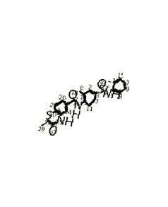 Cc1cc([S+]([O-])Nc2ccccc2)ccc1NC(=O)c1ccc2c(c1)NC(=O)[C@@H](C)S2